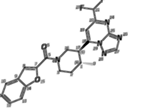 C[C@@H]1CCN(C(=O)c2cc3ccccc3o2)C[C@H]1c1cc(C(F)F)nc2ncnn12